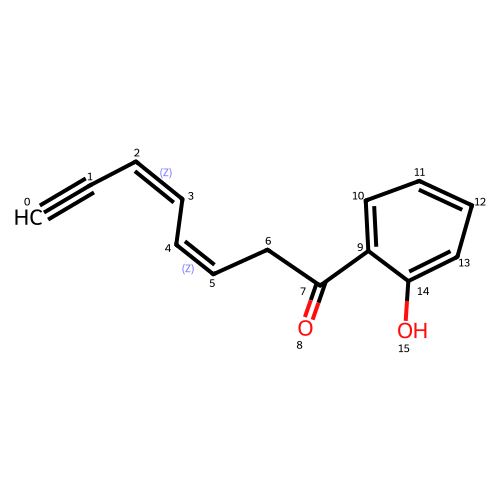 C#C/C=C\C=C/CC(=O)c1ccccc1O